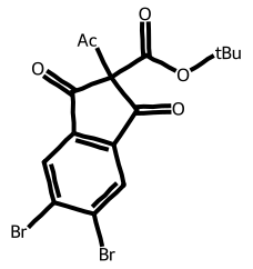 CC(=O)C1(C(=O)OC(C)(C)C)C(=O)c2cc(Br)c(Br)cc2C1=O